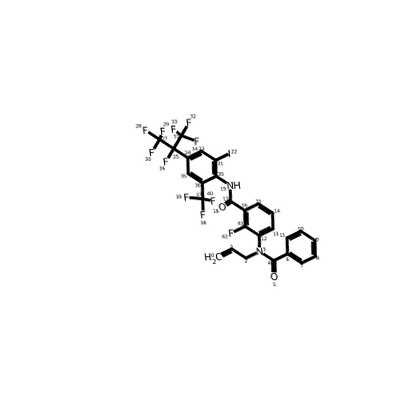 C=CCN(C(=O)c1ccccc1)c1cccc(C(=O)Nc2c(I)cc(C(F)(C(F)(F)F)C(F)(F)F)cc2C(F)(F)F)c1F